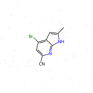 Cc1cc2c(Br)cc(C#N)nc2[nH]1